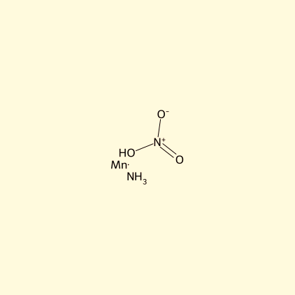 N.O=[N+]([O-])O.[Mn]